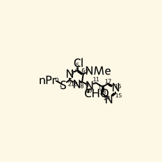 CCCSc1nc(Cl)c(NC)c(N(C=O)Cc2cncnc2)n1